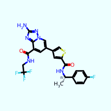 C[C@H](NC(=O)c1cc(-c2cc(C(=O)NCC(F)(F)F)c3nc(N)nn3c2)cs1)c1ccc(F)cc1